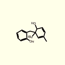 CC1=CC(Cc2ccccc2O)(C(C)(C)C)C(O)C=C1